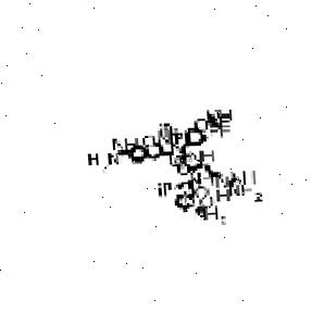 CC(C)C[C@H](NC(=O)[C@H](CCCNC(=N)N)NC(=O)[C@@H](NC(=O)C(Cc1ccc(C(=N)N)cc1)C(=O)N(C(C)C)C(C)C)C1CCCCC1)C(=O)N1CCC[C@H]1C(N)=O.O=C(O)C(F)(F)F